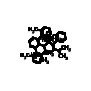 [2H]C1(C(C)C)C(c2ccccc2)=C(C(C)C)C=C(C(C)C)C1c1c(-c2c(C)cccc2C)cccc1-c1c(C)cccc1C